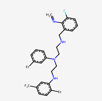 C=Nc1c(F)cccc1CNCCN(CCNc1cc(C(F)(F)F)ccc1CC)c1cccc(CC)c1